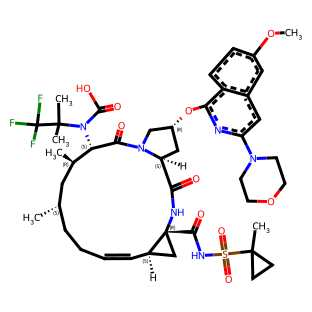 COc1ccc2c(O[C@@H]3C[C@H]4C(=O)N[C@]5(C(=O)NS(=O)(=O)C6(C)CC6)C[C@H]5C=CCC[C@H](C)C[C@@H](C)[C@H](N(C(=O)O)C(C)(C)C(F)(F)F)C(=O)N4C3)nc(N3CCOCC3)cc2c1